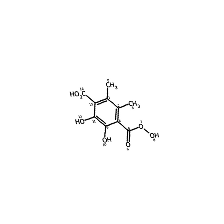 Cc1c(C)c(C(=O)OO)c(O)c(O)c1C(=O)O